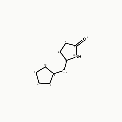 O=C1CCC(OC2CCCC2)N1